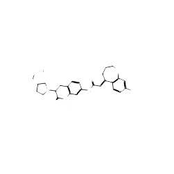 COC[C@@H]1CCN(C2Cc3ccc(NC(=O)/C=C4\CCCOc5cc(C(F)(F)F)ccc54)cc3NC2=O)C1